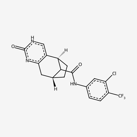 O=C(Nc1ccc(C(F)(F)F)c(Cl)c1)C1[C@@H]2CC[C@@H]1c1c[nH]c(=O)nc1C2